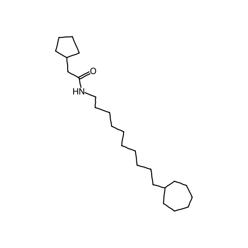 O=C(CC1CCCC1)NCCCCCCCCCCC1CCCCCC1